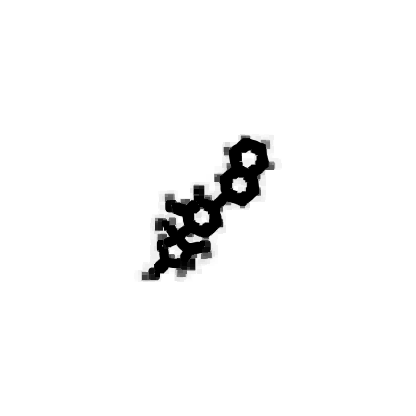 CC(C)C1(c2ccc(-c3ccc4ccccc4c3)[nH]c2=O)OC(=O)NC1=O